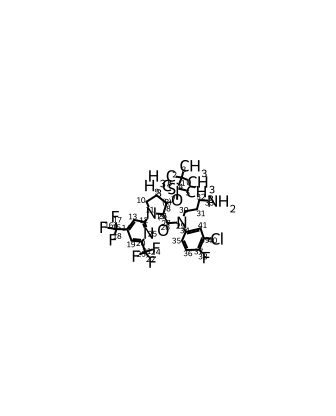 CC(C)(C)[Si](C)(C)O[C@@H]1CCN(c2cc(C(F)(F)F)cc(C(F)(F)F)n2)[C@@H]1C(=O)N(CCCN)c1ccc(F)c(Cl)c1